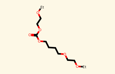 CCOCCOCCCCOC(=O)OCCOCC